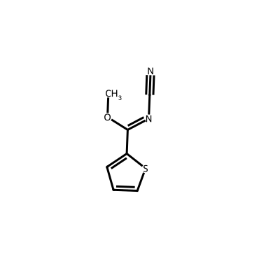 COC(=NC#N)c1cccs1